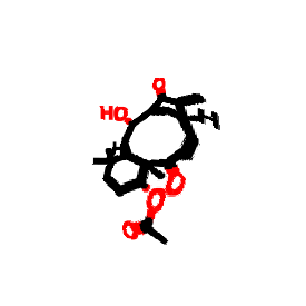 C=C1C(=O)C2=C[C@H]1CCC(=O)[C@@]1(C)[C@H](C[C@H]2O)C(C)(C)CC[C@H]1OC(C)=O